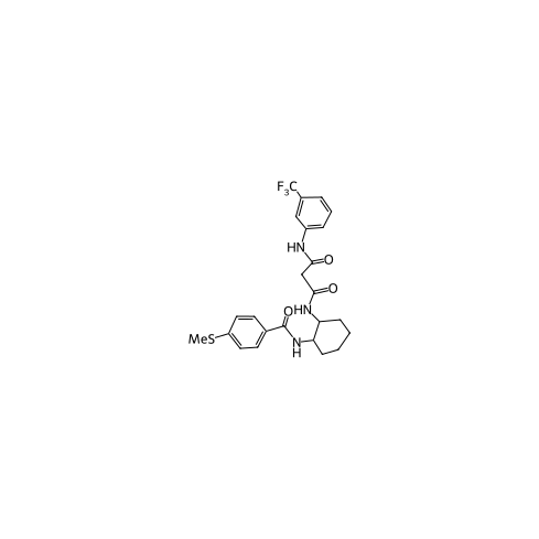 CSc1ccc(C(=O)NC2CCCCC2NC(=O)CC(=O)Nc2cccc(C(F)(F)F)c2)cc1